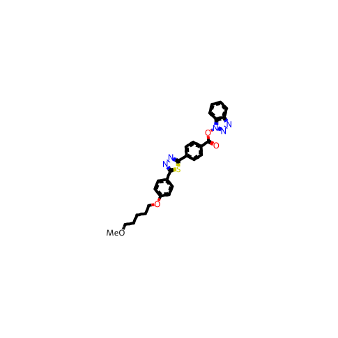 COCCCCCOc1ccc(-c2nnc(-c3ccc(C(=O)On4nnc5ccccc54)cc3)s2)cc1